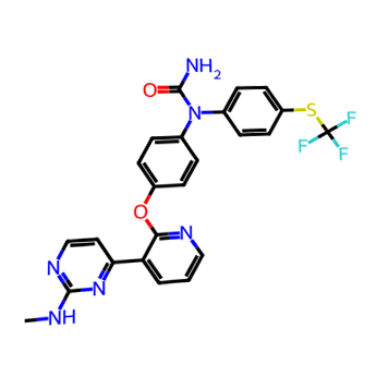 CNc1nccc(-c2cccnc2Oc2ccc(N(C(N)=O)c3ccc(SC(F)(F)F)cc3)cc2)n1